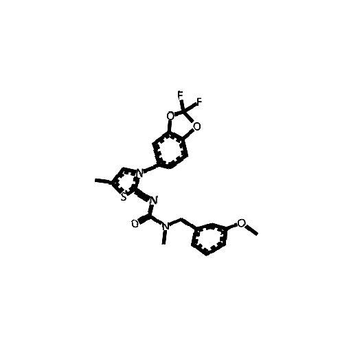 COc1cccc(CN(C)C(=O)/N=c2\sc(C)cn2-c2ccc3c(c2)OC(F)(F)O3)c1